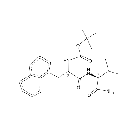 CC(C)[C@H](NC(=O)[C@H](Cc1cccc2ccccc12)NC(=O)OC(C)(C)C)C(N)=O